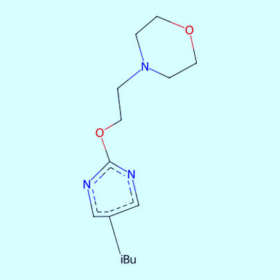 CCC(C)c1cnc(OCCN2CCOCC2)nc1